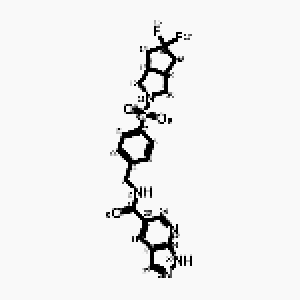 O=C(NCc1ccc(S(=O)(=O)N2CC3CC(F)(F)CC3C2)cc1)c1cnc2[nH]ncc2c1